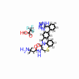 CC(C)(N)CC(=O)N[C@@H]1CSc2ccccc2N(Cc2ccc(-c3ccccc3-c3nnn[nH]3)cc2)C1=O.O=C(O)C(F)(F)F